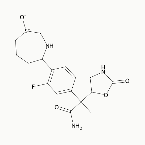 CC(C(N)=O)(c1ccc(C2CCC[S+]([O-])CN2)c(F)c1)C1CNC(=O)O1